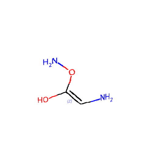 N/C=C(/O)ON